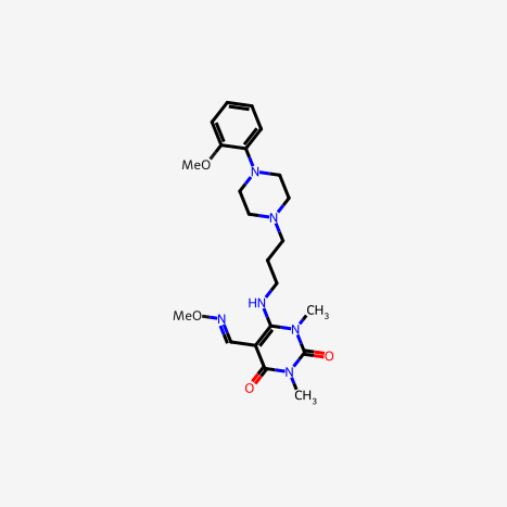 CO/N=C/c1c(NCCCN2CCN(c3ccccc3OC)CC2)n(C)c(=O)n(C)c1=O